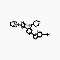 CN1C2CCC1CN(c1nnc(-c3cnc(-c4ccc5cc(C#N)cnn45)cc3NC3CCOCC3)s1)C2